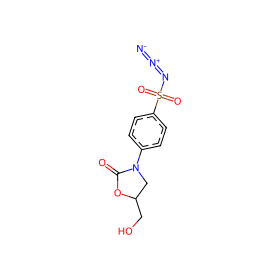 [N-]=[N+]=NS(=O)(=O)c1ccc(N2CC(CO)OC2=O)cc1